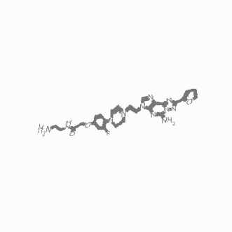 NCCNC(=O)COc1ccc(N2CCN(CCn3cnc4c3nc(N)n3nc(-c5ccco5)nc43)CC2)c(F)c1